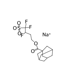 O=C(OCCC(F)C(F)(F)S(=O)(=O)[O-])C12CC3CC(CC(C3)C1)C2.[Na+]